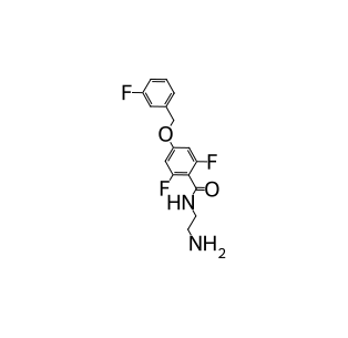 NCCNC(=O)c1c(F)cc(OCc2cccc(F)c2)cc1F